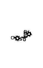 COc1ccccc1CNC(=O)CSc1ccc(Cl)cc1